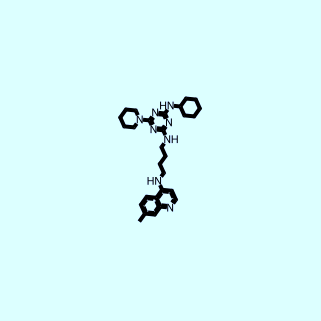 Cc1ccc2c(NCCCCNc3nc(NC4CCCCC4)nc(N4CCCCC4)n3)ccnc2c1